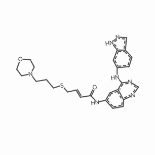 O=C(/C=C/CSCCCN1CCOCC1)Nc1ccc2ncnc(Nc3ccc4cn[nH]c4c3)c2c1